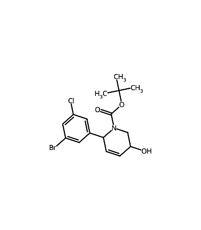 CC(C)(C)OC(=O)N1CC(O)C=CC1c1cc(Cl)cc(Br)c1